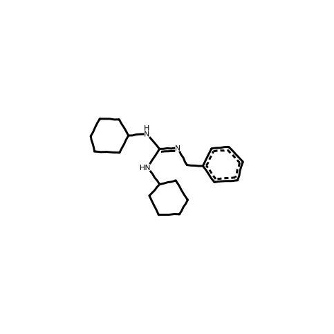 c1ccc(CN=C(NC2CCCCC2)NC2CCCCC2)cc1